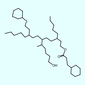 CCCCCC(CCOC(=O)CCC1CCCCC1)CCC(CCC(CCCCC)CCSC1CCCCC1)N(C)CCCCO